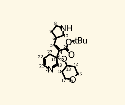 CC(C)(C)OC(=O)C(=CC1CCNC1)[C@@]1(OC2CCOCC2)C=NC=CC1